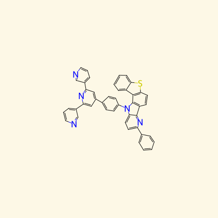 c1ccc(-c2ccc3c(n2)c2ccc4sc5ccccc5c4c2n3-c2ccc(-c3cc(-c4cccnc4)nc(-c4cccnc4)c3)cc2)cc1